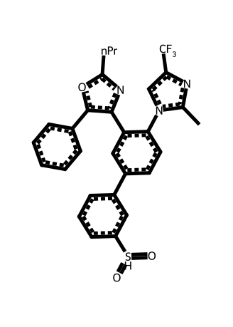 CCCc1nc(-c2cc(-c3cccc([SH](=O)=O)c3)ccc2-n2cc(C(F)(F)F)nc2C)c(-c2ccccc2)o1